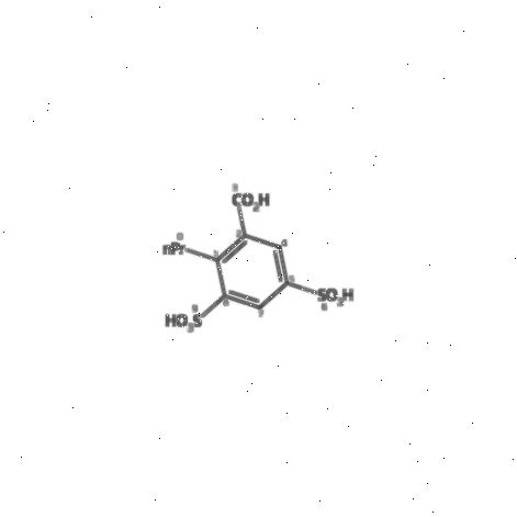 CCCc1c(C(=O)O)cc(S(=O)(=O)O)cc1S(=O)(=O)O